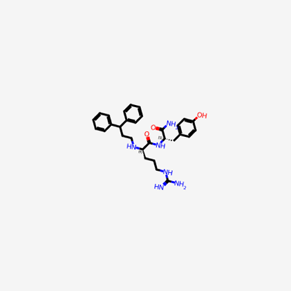 N=C(N)NCCC[C@@H](NCCC(c1ccccc1)c1ccccc1)C(=O)N[C@@H](Cc1ccc(O)cc1)C(N)=O